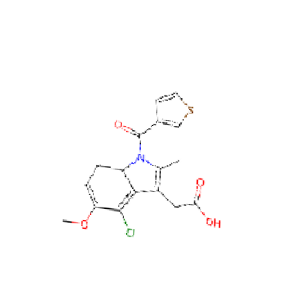 COC1=CCC2C(=C1Cl)C(CC(=O)O)=C(C)N2C(=O)c1ccsc1